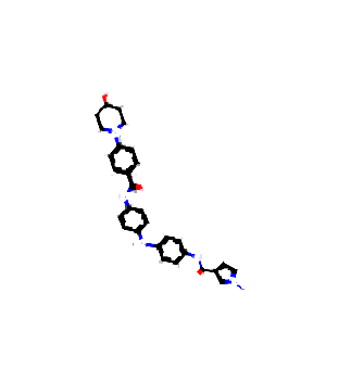 Cn1ccc(C(=O)Nc2ccc(Nc3ccc(NC(=O)c4ccc(N5CCC(O)CC5)cc4)cc3)cc2)c1